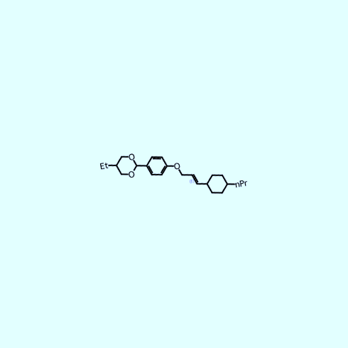 CCCC1CCC(/C=C/COc2ccc(C3OCC(CC)CO3)cc2)CC1